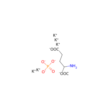 NC(CCC(=O)[O-])C(=O)[O-].O=P([O-])([O-])[O-].[K+].[K+].[K+].[K+].[K+]